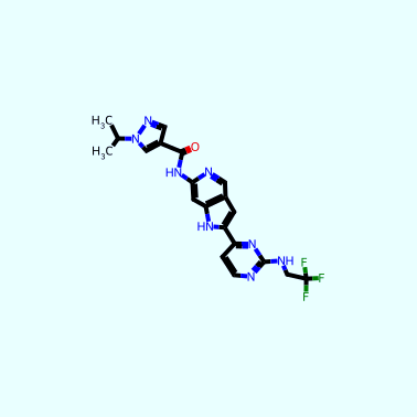 CC(C)n1cc(C(=O)Nc2cc3[nH]c(-c4ccnc(NCC(F)(F)F)n4)cc3cn2)cn1